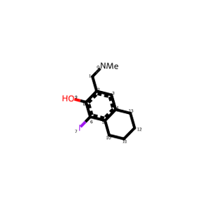 CNCc1cc2c(c(I)c1O)CCCC2